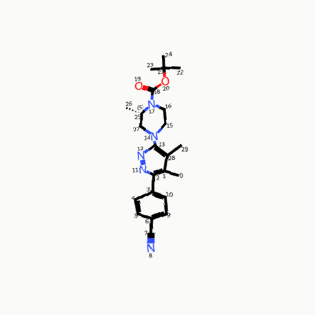 Cc1c(-c2ccc(C#N)cc2)nnc(N2CCN(C(=O)OC(C)(C)C)[C@@H](C)C2)c1C